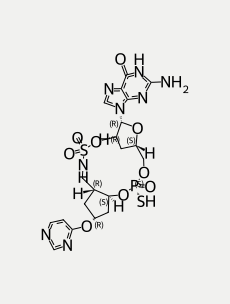 Nc1nc2c(ncn2[C@@H]2O[C@@H]3CO[P@](=O)(S)O[C@H]4C[C@H](Oc5ccncn5)C[C@@H]4CNS(=O)(=O)O[C@@H]2C3)c(=O)[nH]1